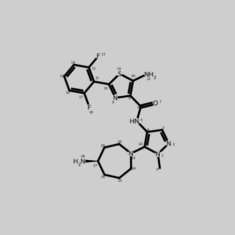 Cn1ncc(NC(=O)c2nc(-c3c(F)cccc3F)sc2N)c1N1CCC[C@@H](N)CC1